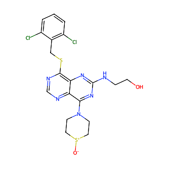 [O-][S+]1CCN(c2nc(NCCO)nc3c(SCc4c(Cl)cccc4Cl)ncnc23)CC1